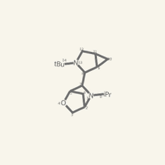 CC(C)N1C2COC(C2)C1C1C2CC2CN1C(C)(C)C